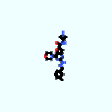 Cc1cccc(/C=N/Nc2nc(N3CCOCC3)c3oc(C(=O)NC4CNC4)cc3n2)c1